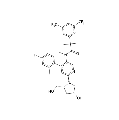 Cc1cc(F)ccc1-c1cc(N2C[C@H](O)C[C@@H]2CO)ncc1N(C)C(=O)C(C)(C)c1cc(C(F)(F)F)cc(C(F)(F)F)c1